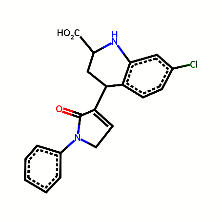 O=C(O)C1CC(C2=CCN(c3ccccc3)C2=O)c2ccc(Cl)cc2N1